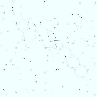 C[C@]12C=CC(=O)C=C1[C@@H](F)C[C@H]1[C@@H]3C[C@H]4CN(Cc5ccc6cccnc6c5)O[C@@]4(C(=O)SCF)[C@@]3(C)C[C@H](O)[C@@]12F